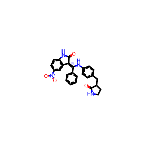 O=C1Nc2ccc([N+](=O)[O-])cc2/C1=C(/Nc1ccc(CC2CCNC2=O)cc1)c1ccccc1